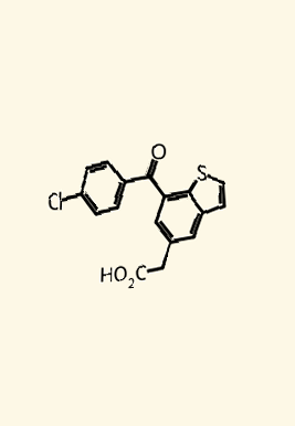 O=C(O)Cc1cc(C(=O)c2ccc(Cl)cc2)c2sccc2c1